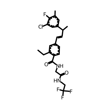 CCc1cc(/C=C/C(C)c2cc(C)c(F)c(Cl)c2)ccc1C(=O)NCC(=O)NCC(F)(F)F